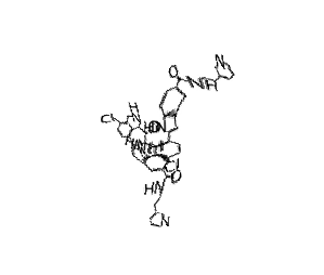 O=C(NCCc1cccnc1)c1ccc2[nH]c(-c3ccc(Cl)c4c3C(C(=O)C3NCc5c(Cl)ccc(-c6cc7cc(C(=O)NCCc8cccnc8)ccc7[nH]6)c53)NC4)cc2c1